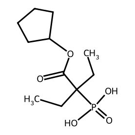 CCC(CC)(C(=O)OC1CCCC1)P(=O)(O)O